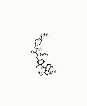 Cc1c[nH]c2nccc(Oc3ccc(C[C@H](N)C(=O)NCC4CCN(C)CC4)cc3F)c12